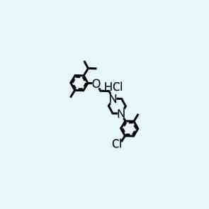 Cc1ccc(C(C)C)c(OCCN2CCN(c3cc(Cl)ccc3C)CC2)c1.Cl